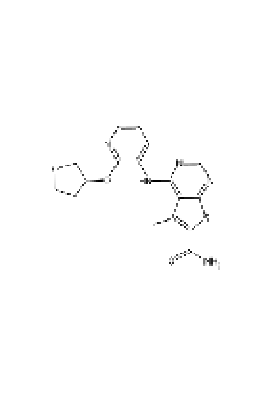 Cc1c(C(N)=O)sc2ncnc(Nc3cccnc3O[C@H]3CCOC3)c12